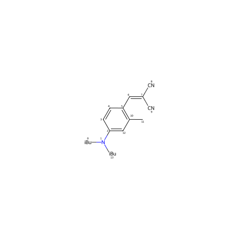 CCC(C)N(c1ccc(C=C(C#N)C#N)c(C)c1)C(C)CC